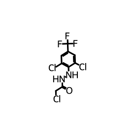 O=C(CCl)NNc1c(Cl)cc(C(F)(F)F)cc1Cl